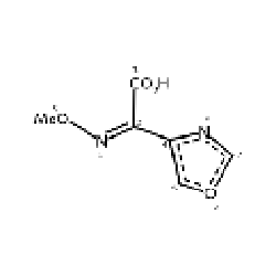 CON=C(C(=O)O)c1cocn1